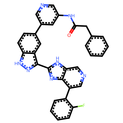 O=C(Cc1ccccc1)Nc1cncc(-c2ccc3[nH]nc(-c4nc5c(-c6ccccc6F)cncc5[nH]4)c3c2)c1